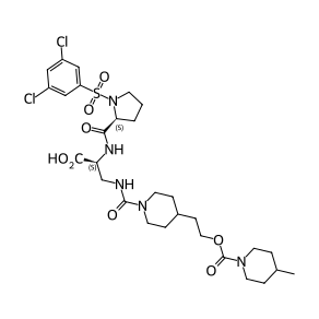 CC1CCN(C(=O)OCCC2CCN(C(=O)NC[C@H](NC(=O)[C@@H]3CCCN3S(=O)(=O)c3cc(Cl)cc(Cl)c3)C(=O)O)CC2)CC1